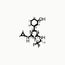 C[C@@H](Nc1nc(NC2CC2)nc(C2=CC(O)CCC2)n1)C(F)(F)F